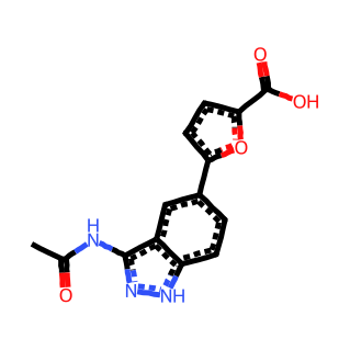 CC(=O)Nc1n[nH]c2ccc(-c3ccc(C(=O)O)o3)cc12